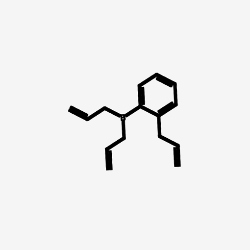 C=CCB(CC=C)c1ccccc1CC=C